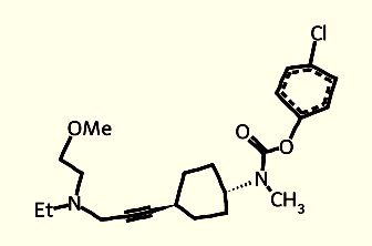 CCN(CC#C[C@H]1CC[C@H](N(C)C(=O)Oc2ccc(Cl)cc2)CC1)CCOC